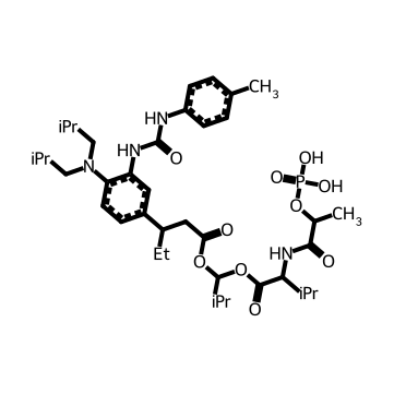 CCC(CC(=O)OC(OC(=O)C(NC(=O)C(C)OP(=O)(O)O)C(C)C)C(C)C)c1ccc(N(CC(C)C)CC(C)C)c(NC(=O)Nc2ccc(C)cc2)c1